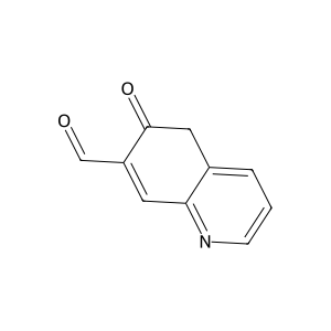 O=CC1=Cc2ncccc2CC1=O